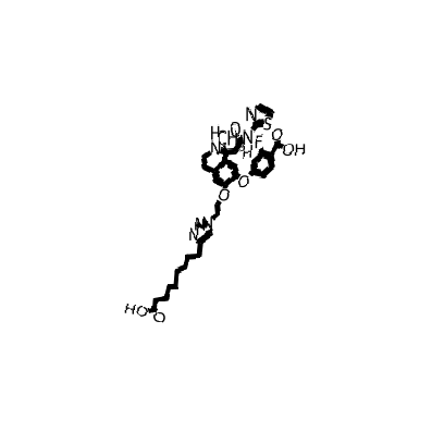 C[C@]1(CC(=O)Nc2nccs2)NCCc2cc(OCCn3cc(CCCCCCCCC(=O)O)nn3)c(Oc3ccc(C(=O)O)c(F)c3)cc21